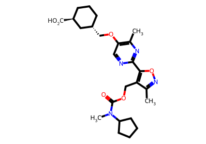 Cc1nc(-c2onc(C)c2COC(=O)N(C)C2CCCC2)ncc1OC[C@H]1CCC[C@H](C(=O)O)C1